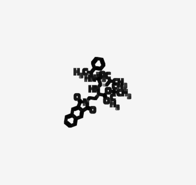 CC(C)C[C@H](N[C@H](CCN1C(=O)c2cc3ccccc3cc2C1=O)C(=O)OC(C)(C)C)C(=O)N[C@@H](C)c1ccccc1